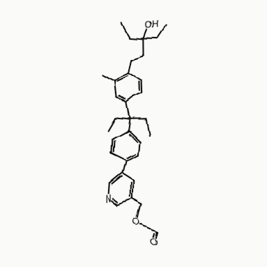 CCC(O)(CC)CCc1ccc(C(CC)(CC)c2ccc(-c3cncc(COC=O)c3)cc2)cc1C